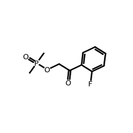 CP(C)(=O)OCC(=O)c1ccccc1F